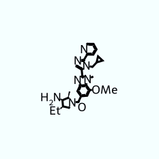 CC[C@@H]1CN(C(=O)c2cc(OC)c3c(c2)nc(-c2cnc(-c4ccccn4)n2CC2CC2)n3C)[C@H](C)[C@@H]1N